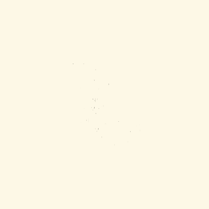 COP(=O)(OC)C(=CNC(=O)c1ccccc1)c1cccc(Br)c1